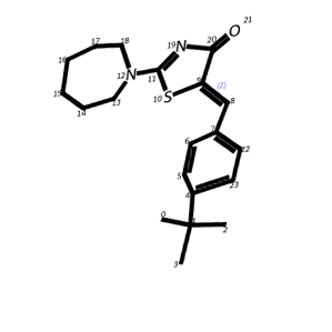 CC(C)(C)c1ccc(/C=C2\SC(N3CCCCCC3)=NC2=O)cc1